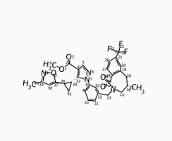 COC(=O)c1cnn(-c2cccc(CN3C[C@@H](C)Cc4cc(C(F)(F)F)ccc4S3(=O)=O)c2)c1[C@@H]1C[C@H]1c1cc(C)no1